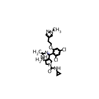 C=C(N)/N=C(\C1=C(N)CN(C(=O)NC2CC2)C1)c1c(Cl)cc(Cl)cc1OCCc1cnn(C)c1